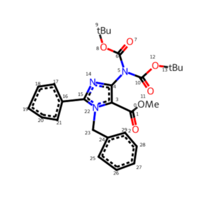 COC(=O)c1c(N(C(=O)OC(C)(C)C)C(=O)OC(C)(C)C)nc(-c2ccccc2)n1Cc1ccccc1